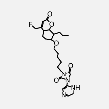 CCCC1C(OCCCCCN2C(=O)CN(C3=CN=CCN3)C2=O)CCC2C(CF)=CC(=O)OC21